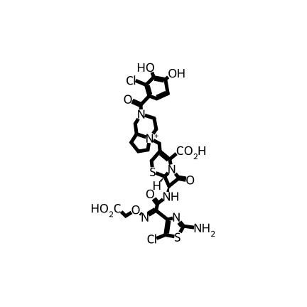 Nc1nc(/C(=N/OCC(=O)O)C(=O)N[C@@H]2C(=O)N3C(C(=O)O)=C(C[N+]45CCCC4CN(C(=O)c4ccc(O)c(O)c4Cl)CC5)CS[C@H]23)c(Cl)s1